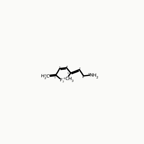 C=C(F)/C=C\C(C)=C\CN